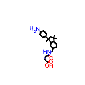 CC1(C)CC(C)(c2ccc(N)cc2)C2=CC(CNC(=O)/C=C\C(=O)O)CC=C21